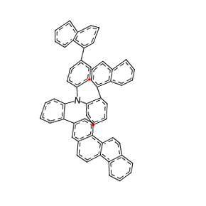 c1ccc(N(c2ccc(-c3cccc4ccccc34)cc2)c2ccccc2-c2cccc3ccccc23)c(-c2ccc3c(ccc4c5ccccc5ccc34)c2)c1